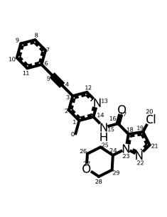 Cc1cc(C#Cc2ccccc2)cnc1NC(=O)c1c(Cl)cnn1C1CCOCC1